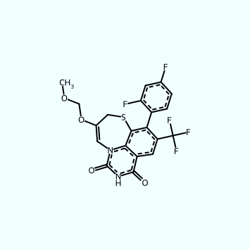 COCOC1=Cn2c(=O)[nH]c(=O)c3cc(C(F)(F)F)c(-c4ccc(F)cc4F)c(c32)SC1